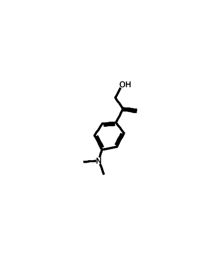 C=C(CO)c1ccc(N(C)C)cc1